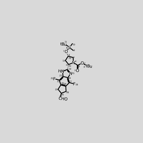 CC(C)(C)OC(=O)N1C[C@@H](O[Si](C)(C)C(C)(C)C)C[C@H]1c1nc2c(F)c3c(c(F)c2[nH]1)CC(C=O)C3